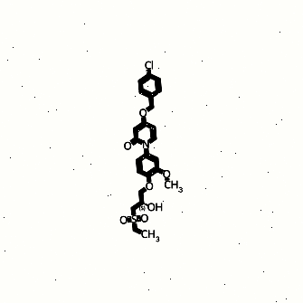 CCS(=O)(=O)C[C@@H](O)COc1ccc(-n2ccc(OCc3ccc(Cl)cc3)cc2=O)cc1OC